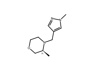 C[C@H]1COCCN1Cc1cnn(C)c1